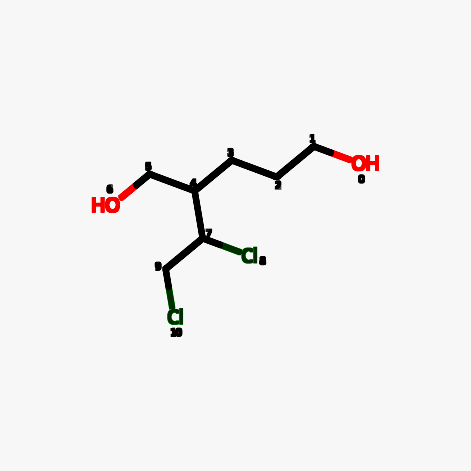 OCCCC(CO)C(Cl)CCl